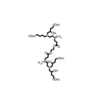 CCCCCCCCCCCCCCN(CCN(C)CCC(=O)OCCOC(=O)CCN(C)CCN(CC(O)CCCCCCCCCCCC)CC(O)CCCCCCCCCCCC)CC(O)CCCCCCCCCCCC